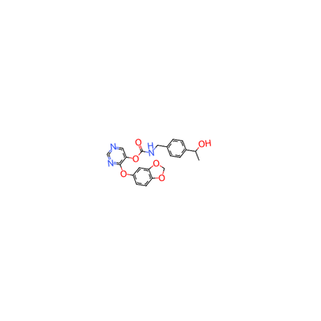 CC(O)c1ccc(CNC(=O)Oc2cncnc2Oc2ccc3c(c2)OCO3)cc1